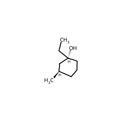 CC[C@@]1(O)CCC[C@@H](C)C1